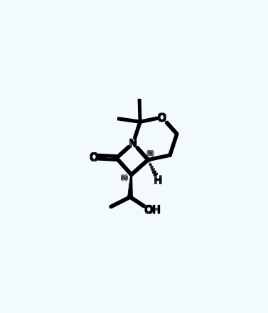 CC(O)[C@H]1C(=O)N2[C@H]1CCOC2(C)C